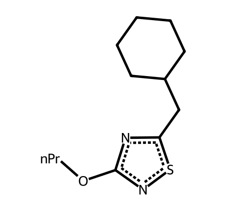 CCCOc1nsc(CC2CCCCC2)n1